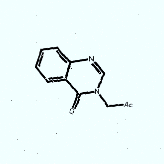 CC(=O)Cn1cnc2ccccc2c1=O